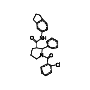 O=C(Nc1ccc2c(c1)CCC2)C1CCCN(C(=O)c2ccccc2Cl)C1c1ccccc1